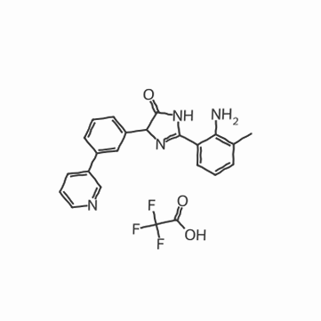 Cc1cccc(C2=NC(c3cccc(-c4cccnc4)c3)C(=O)N2)c1N.O=C(O)C(F)(F)F